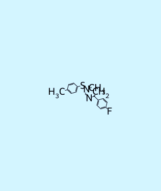 C=C(/N=C\N(C)Sc1ccc(C)cc1)c1ccc(F)cc1